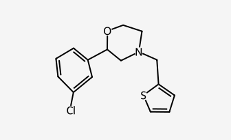 Clc1cccc(C2CN(Cc3cccs3)CCO2)c1